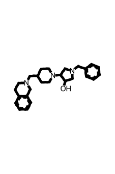 OC1CN(Cc2ccccc2)CC1N1CCC(CN2CCc3ccccc3C2)CC1